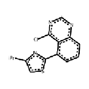 CC(C)c1csc(-c2cccc3n[c]nc(Cl)c23)n1